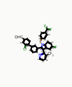 O=Cc1ccc(-c2cccc(-c3c(-c4ncccc4C(F)(F)F)c4cc(F)ccc4n3Sc3ccc(C(F)F)cc3)c2)c(Cl)c1